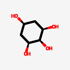 O[C@H]1C[C@@H](O)[C@@H](O)[C@@H](O)C1